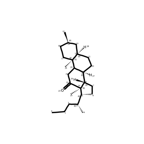 CCC[C@@H](C)[C@H]1CC[C@H]2[C@@H]3CC[C@@H]4C[C@H](C)CC[C@]4(C)C3CC(=O)[C@]12C